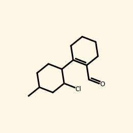 CC1CCC(C2=C(C=O)CCCC2)C(Cl)C1